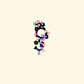 CO[C@@H](C)c1ncccc1-c1c2c3cc(ccc3n1CC(F)(F)F)-c1nc(co1)C[C@H](NC(=O)[C@H](C1CCCC1)N1CCOC3(CN(C(=O)[C@@H]4N[C@@H]4C4CC4)C3)C1)C(=O)N1CCC[C@H](N1)C(=O)OCC(C)(C)C2